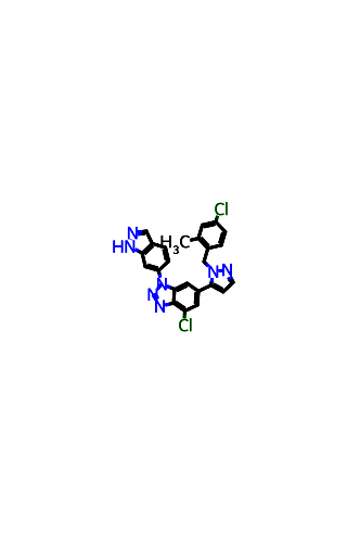 Cc1cc(Cl)ccc1Cn1nccc1-c1cc(Cl)c2nnn(-c3ccc4cn[nH]c4c3)c2c1